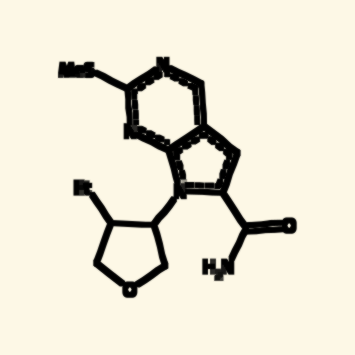 CCC1COCC1n1c(C(N)=O)cc2cnc(SC)nc21